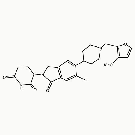 COc1ccoc1CN1CCC(c2cc3c(cc2F)C(=O)N(C2CCC(=O)NC2=O)C3)CC1